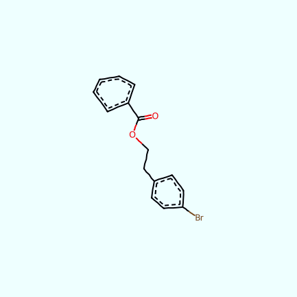 O=C(OCCc1ccc(Br)cc1)c1ccccc1